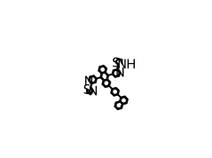 C1=CSC(c2cc(-c3c4ccccc4c(-c4ccnc(-c5nccs5)c4)c4ccc(-c5ccc(-c6cccc7ccccc67)cc5)cc34)ccn2)N1